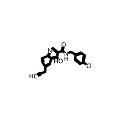 C#CCc1ccc2ncc(C(=O)NCc3ccc(Cl)cc3)c(O)c2c1